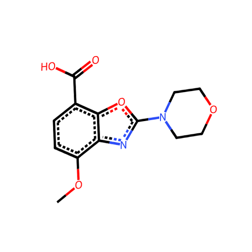 COc1ccc(C(=O)O)c2oc(N3CCOCC3)nc12